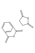 O=C1CCC(=O)O1.O=C1OC(=O)c2cccc1c2